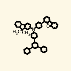 CC1(C)c2cc(N(c3ccc(-c4cc(-c5ccccc5)cc(-c5ccccc5)c4)cc3)c3ccc(-c4cccc5c4oc4ccccc45)cc3)ccc2C2C=CC=CC21